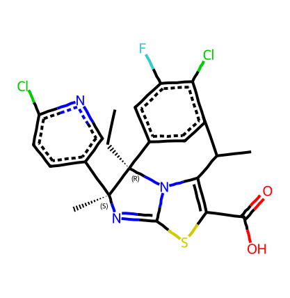 CC[C@]1(c2ccc(Cl)c(F)c2)N2C(=N[C@@]1(C)c1ccc(Cl)nc1)SC(C(=O)O)=C2C(C)C